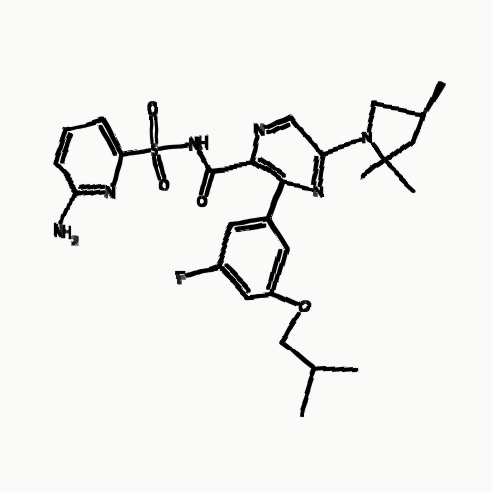 CC(C)COc1cc(F)cc(-c2nc(N3C[C@@H](C)CC3(C)C)cnc2C(=O)NS(=O)(=O)c2cccc(N)n2)c1